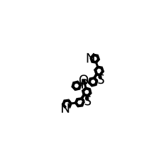 O=P(c1ccccc1)(c1ccc2sc3ccc(-c4cccnc4)cc3c2c1)c1ccc2sc3ccc(-c4cccnc4)cc3c2c1